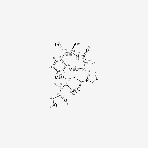 CC[C@H](C)C(C(CC(=O)N1CCC[C@H]1C(OC)[C@@H](C)C(=O)N[C@H](C)[C@@H](O)c1ccccc1)OC)N(C)C(=O)CC(C)C